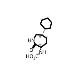 O=C(O)N[C@@H]1CC[C@@H](C2CCCCC2)CNC1=O